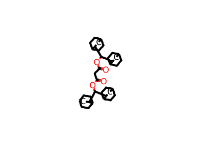 O=C(CC(=O)OC(C1CC2CCC1CC2)C1CC2CCC1CC2)OC(C1CC2CCC1CC2)C1CC2CCC1CC2